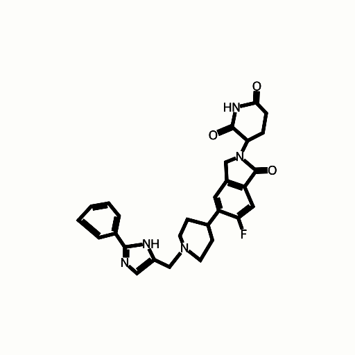 O=C1CCC(N2Cc3cc(C4CCN(Cc5cnc(-c6ccccc6)[nH]5)CC4)c(F)cc3C2=O)C(=O)N1